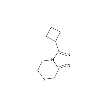 C1CC(c2nnc3n2CC[N]C3)C1